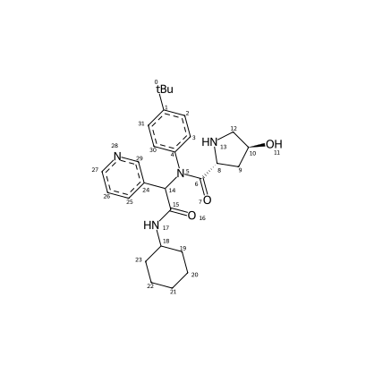 CC(C)(C)c1ccc(N(C(=O)[C@H]2C[C@H](O)CN2)C(C(=O)NC2CCCCC2)c2cccnc2)cc1